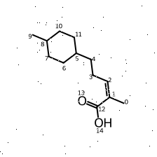 CC(=CCCC1CCC(C)CC1)C(=O)O